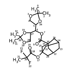 CC1(C)OCC(C(OC(=O)C23CC4CC(CC(OC(=O)C(C)(F)F)(C4)C2)C3)C2COC(C)(C)O2)O1